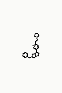 C1=C(c2ccc(CCN3CCCC3)nc2)C2CN(Cc3ccccc3)CC2C1